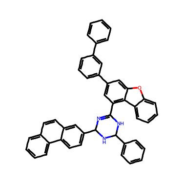 c1ccc(-c2cccc(-c3cc(C4=NC(c5ccc6c(ccc7ccccc76)c5)NC(c5ccccc5)N4)c4c(c3)oc3ccccc34)c2)cc1